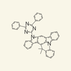 CC1(C)c2ccccc2-n2c3ccccc3c3cc4c(c1c32)c1ccccc1n4-c1nc(-c2ccccc2)nc(-c2ccccc2)n1